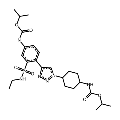 CCNS(=O)(=O)c1cc(NC(=O)OC(C)C)ccc1-c1cn(C2CCC(NC(=O)OC(C)C)CC2)nn1